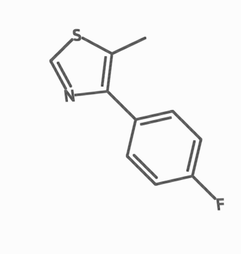 Cc1scnc1-c1ccc(F)cc1